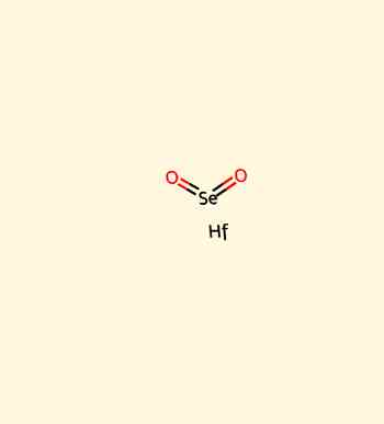 O=[Se]=O.[Hf]